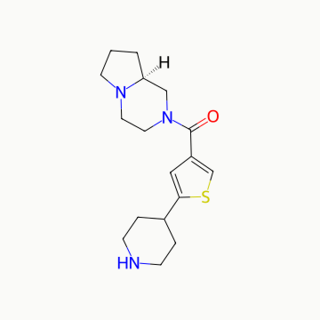 O=C(c1csc(C2CCNCC2)c1)N1CCN2CCC[C@H]2C1